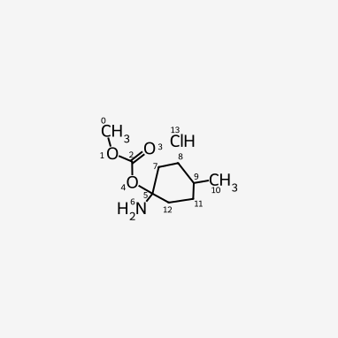 COC(=O)OC1(N)CCC(C)CC1.Cl